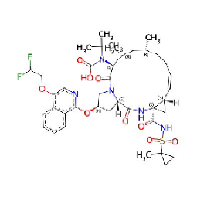 C[C@@H]1CCC=C[C@@H]2C[C@@]2(C(=O)NS(=O)(=O)C2(C)CC2)NC(=O)[C@@H]2C[C@@H](Oc3ncc(OCC(F)F)c4ccccc34)CN2C(=O)[C@@H](N(C(=O)O)C(C)(C)C)[C@H](C)C1